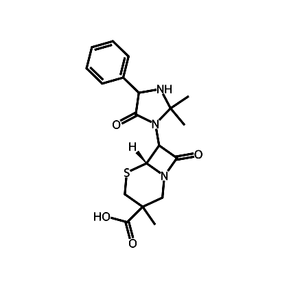 CC1(C(=O)O)CS[C@@H]2C(N3C(=O)C(c4ccccc4)NC3(C)C)C(=O)N2C1